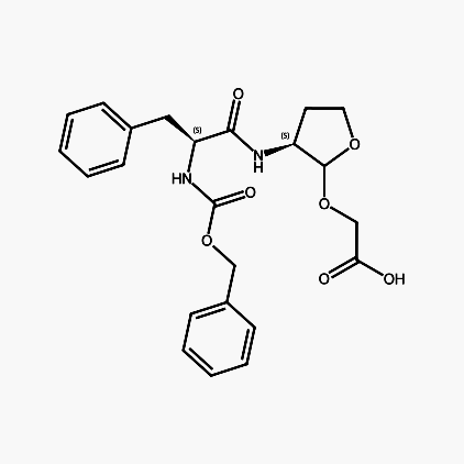 O=C(O)COC1OCC[C@@H]1NC(=O)[C@H](Cc1ccccc1)NC(=O)OCc1ccccc1